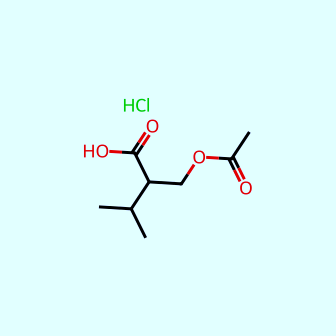 CC(=O)OCC(C(=O)O)C(C)C.Cl